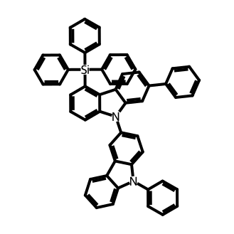 c1ccc(-c2ccc3c4c([Si](c5ccccc5)(c5ccccc5)c5ccccc5)cccc4n(-c4ccc5c(c4)c4ccccc4n5-c4ccccc4)c3c2)cc1